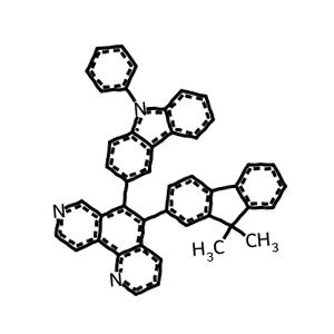 CC1(C)c2ccccc2-c2ccc(-c3c(-c4ccc5c(c4)c4ccccc4n5-c4ccccc4)c4cnccc4c4ncccc34)cc21